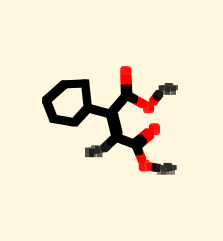 CCCOC(=O)/C(CCC)=C(\C(=O)OCCC)C1CCCCC1